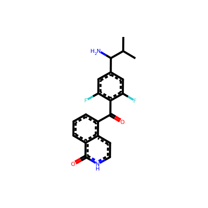 CC(C)C(N)c1cc(F)c(C(=O)c2cccc3c(=O)[nH]ccc23)c(F)c1